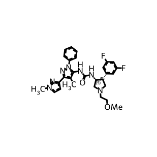 COCCN1C[C@@H](NC(=O)Nc2c(C)c(-c3ccn(C)n3)nn2-c2ccccc2)[C@H](c2cc(F)cc(F)c2)C1